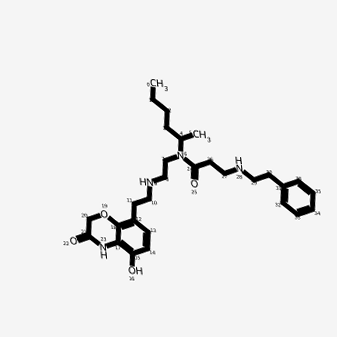 CCCCC(C)N(CCNCCc1ccc(O)c2c1OCC(=O)N2)C(=O)CCNCCc1ccccc1